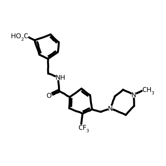 CN1CCN(Cc2ccc(C(=O)NCc3cccc(C(=O)O)c3)cc2C(F)(F)F)CC1